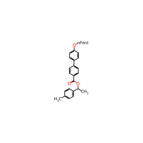 CCCCCOc1ccc(-c2ccc(C(=O)OC(C)c3ccc(C)cc3)cc2)cc1